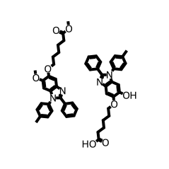 COC(=O)CCCCCOc1cc2nc(-c3ccccc3)n(-c3ccc(C)cc3)c2cc1OC.Cc1ccc(-n2c(-c3ccccc3)nc3cc(OCCCCCC(=O)O)c(O)cc32)cc1